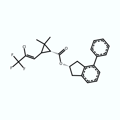 CC1(C)C(/C=C(\Cl)C(F)(F)F)[C@H]1C(=O)O[C@H]1Cc2cccc(-c3ccccc3)c2C1